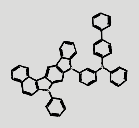 c1ccc(-c2ccc(N(c3ccccc3)c3cccc(-n4c5ccccc5c5cc6c7c8ccccc8ccc7n(-c7ccccc7)c6cc54)c3)cc2)cc1